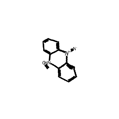 C=O.[N-]=[N+]1c2ccccc2Nc2ccccc21